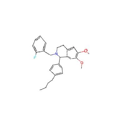 CCCCc1ccc(C2c3cc(OC)c(OC)cc3CCN2Cc2ccccc2F)cc1